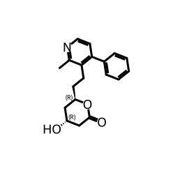 Cc1nccc(-c2ccccc2)c1CC[C@@H]1C[C@@H](O)CC(=O)O1